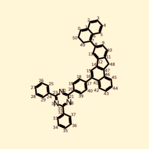 C1=c2ccccc2=C(c2ccc3c(c2)-c2cc(-c4ccc(-c5nc(-c6ccccc6)nc(-c6ccccc6)n5)cc4)c4ccccc4c2C3)CC1